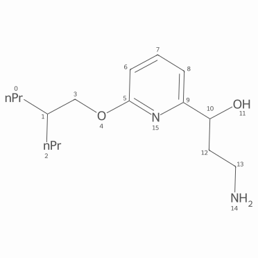 CCCC(CCC)COc1cccc(C(O)CCN)n1